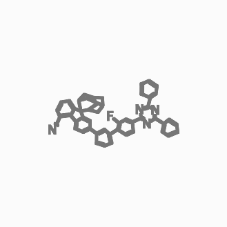 N#Cc1cccc2c1-c1ccc(-c3cccc(-c4ccc(-c5nc(-c6ccccc6)nc(-c6ccccc6)n5)cc4F)c3)cc1C21C2CC3CC(C2)CC1C3